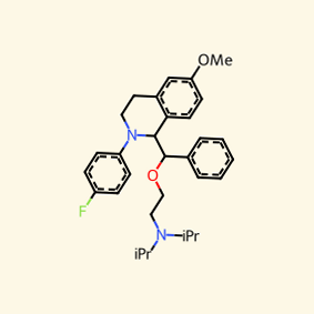 COc1ccc2c(c1)CCN(c1ccc(F)cc1)C2C(OCCN(C(C)C)C(C)C)c1ccccc1